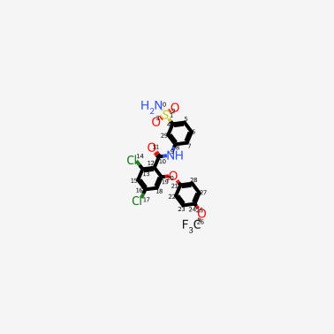 NS(=O)(=O)c1cccc(NC(=O)c2c(Cl)cc(Cl)cc2Oc2ccc(OC(F)(F)F)cc2)c1